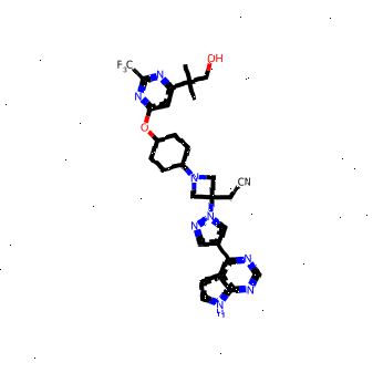 CC(C)(CO)c1cc(OC2CCC(N3CC(CC#N)(n4cc(-c5ncnc6[nH]ccc56)cn4)C3)CC2)nc(C(F)(F)F)n1